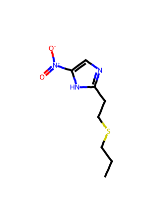 CCCSCCc1ncc([N+](=O)[O-])[nH]1